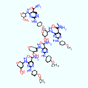 CO[C@H]1CC[C@H](Nc2ncc(C(N)=O)c(NC3COCC(O)C3)n2)CC1.CO[C@H]1CC[C@H](Nc2ncc(C(N)=O)c(NC3COCC(O)C3)n2)CC1.CO[C@H]1CC[C@H](Nc2ncc(C(N)=O)c(NC3COCC(O)C3)n2)CC1.CO[C@H]1CC[C@H](Nc2ncc(C(N)=O)c(NC3COCC(O)C3)n2)CC1